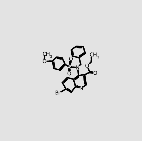 CCOC(=O)c1cnc2cc(Br)ccc2c1N(Cc1ccccc1)S(=O)(=O)c1ccc(OC)cc1